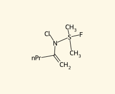 C=C(CCC)N(Cl)S(C)(C)F